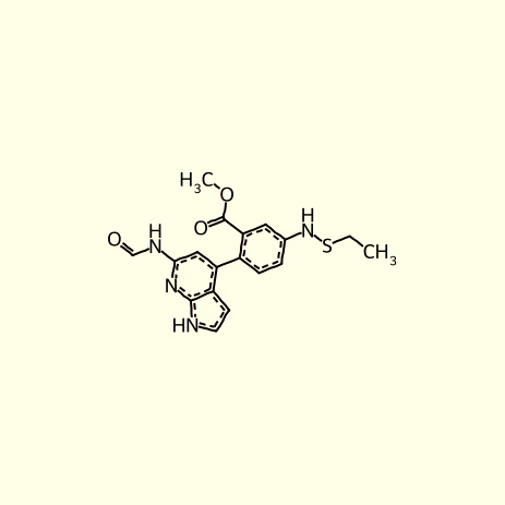 CCSNc1ccc(-c2cc(NC=O)nc3[nH]ccc23)c(C(=O)OC)c1